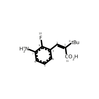 CC(C)(C)C(=Cc1cccc(N)c1F)C(=O)O